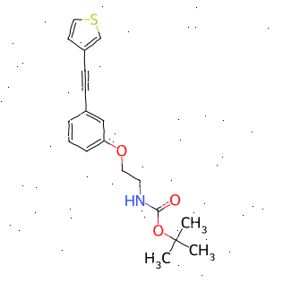 CC(C)(C)OC(=O)NCCOc1cccc(C#Cc2ccsc2)c1